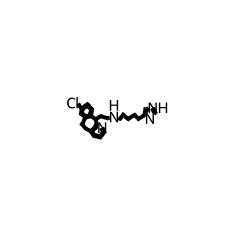 Clc1ccc2c(c1)CCc1cccnc1C2CCNCCCCCc1c[nH]cn1